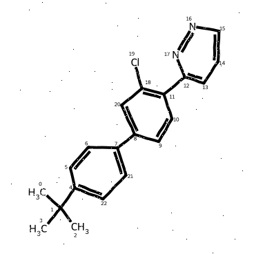 CC(C)(C)c1ccc(-c2ccc(-c3cccnn3)c(Cl)c2)cc1